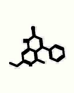 CCc1cc2[nH]c(=O)cc(-c3ccccc3)c2c(C)n1